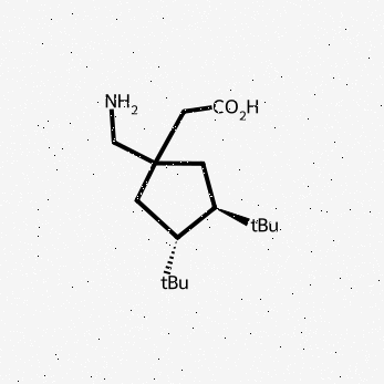 CC(C)(C)[C@@H]1CC(CN)(CC(=O)O)C[C@H]1C(C)(C)C